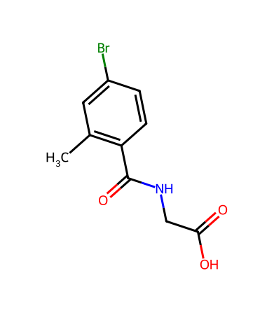 Cc1cc(Br)ccc1C(=O)NCC(=O)O